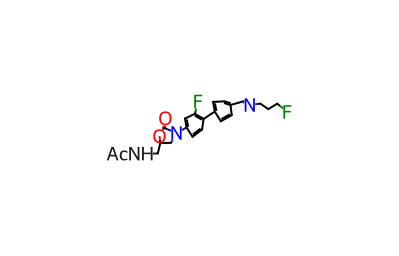 CC(=O)NCC1CN(c2ccc(-c3ccc(C=NCCCF)cc3)c(F)c2)C(=O)O1